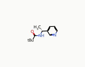 C[C@@H](NC(=O)C(C)(C)C)c1cccnc1